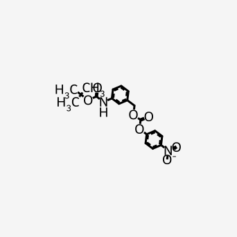 CC(C)(C)OC(=O)Nc1cccc(COC(=O)Oc2ccc([N+](=O)[O-])cc2)c1